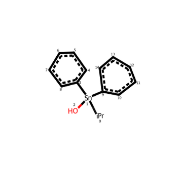 C[CH](C)[Sn]([OH])([c]1ccccc1)[c]1ccccc1